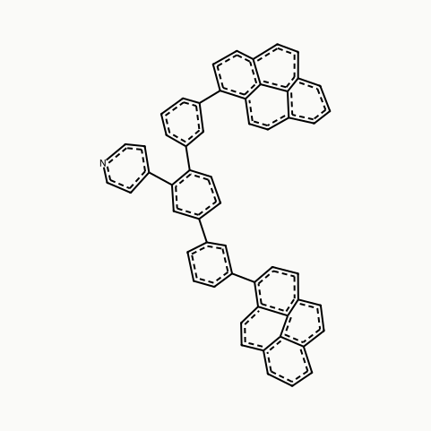 c1cc(-c2ccc(-c3cccc(-c4ccc5ccc6cccc7ccc4c5c67)c3)c(-c3ccncc3)c2)cc(-c2ccc3ccc4cccc5ccc2c3c45)c1